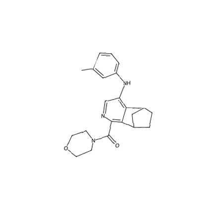 Cc1cccc(Nc2cnc(C(=O)N3CCOCC3)c3c2C2CCC3C2)c1